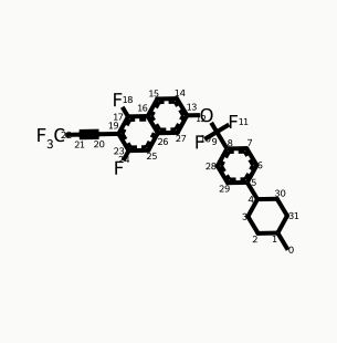 CC1CCC(c2ccc(C(F)(F)Oc3ccc4c(F)c(C#CC(F)(F)F)c(F)cc4c3)cc2)CC1